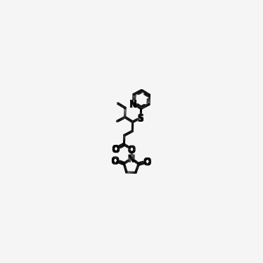 CCC(C)C(CCC(=O)ON1C(=O)CCC1=O)Sc1ccccn1